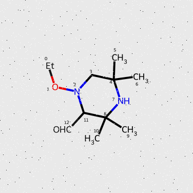 CCON1CC(C)(C)NC(C)(C)C1C=O